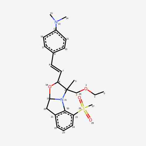 CCOCC1(C)C(C=Cc2ccc(N(C)C)cc2)OC2Cc3cccc(S(C)(=O)=O)c3N21